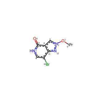 CC(C)On1cc2c(=O)[nH]cc(Br)c2n1